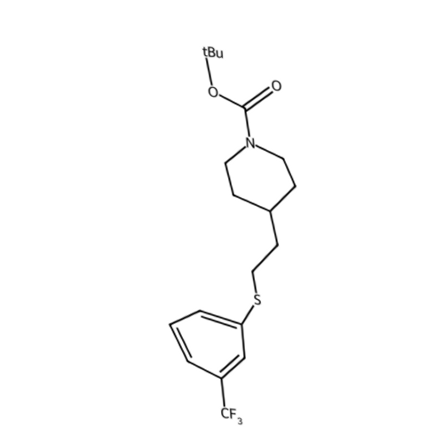 CC(C)(C)OC(=O)N1CCC(CCSc2cccc(C(F)(F)F)c2)CC1